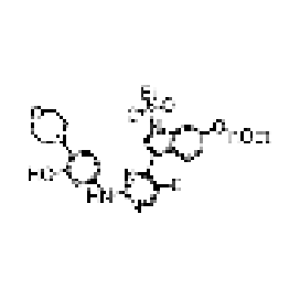 CCCCCCCCOc1ccc2c(-c3nc(Nc4ccc(N5CCOCC5)c(O)c4)ncc3Cl)cn(S(=O)(=O)CC)c2c1